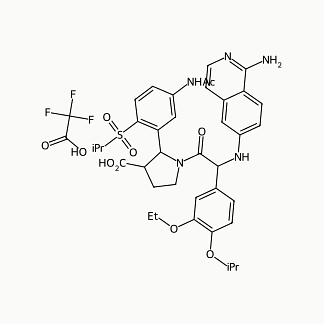 CCOc1cc(C(Nc2ccc3c(N)nccc3c2)C(=O)N2CCC(C(=O)O)C2c2cc(NC(C)=O)ccc2S(=O)(=O)C(C)C)ccc1OC(C)C.O=C(O)C(F)(F)F